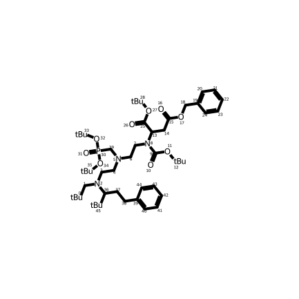 CC(C)(C)CN(CCN(CCN(C(=O)OC(C)(C)C)C(CC(=O)OCc1ccccc1)C(=O)OC(C)(C)C)CP(=O)(OC(C)(C)C)OC(C)(C)C)C(CCc1ccccc1)C(C)(C)C